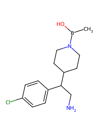 CB(O)N1CCC(C(CN)c2ccc(Cl)cc2)CC1